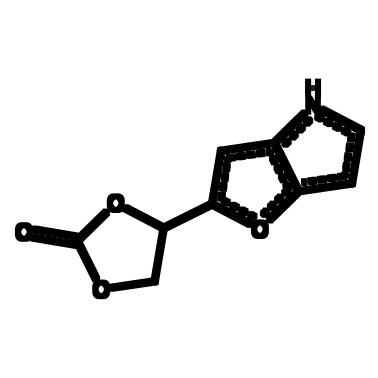 O=C1OCC(c2cc3[nH]ccc3o2)O1